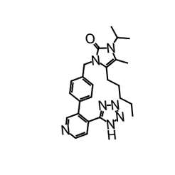 CCCCCc1c(C)n(C(C)C)c(=O)n1Cc1ccc(-c2cnccc2-c2nnn[nH]2)cc1